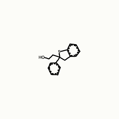 OCCC1(c2ccccc2)Cc2ccccc2S1